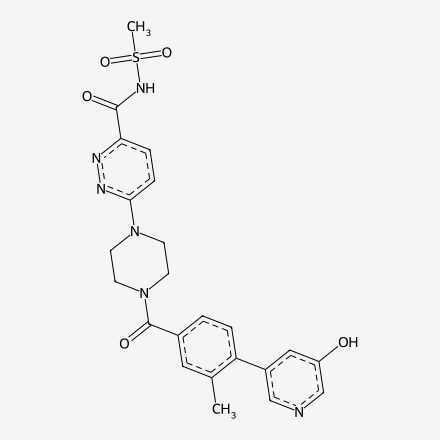 Cc1cc(C(=O)N2CCN(c3ccc(C(=O)NS(C)(=O)=O)nn3)CC2)ccc1-c1cncc(O)c1